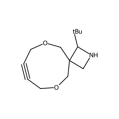 CC(C)(C)C1NCC12COCC#CCOC2